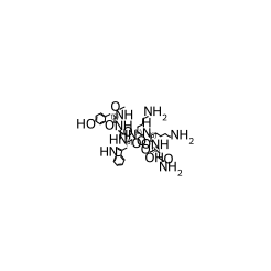 CC(=O)N[C@@H](Cc1ccc(O)cc1)C(=O)NCC(=O)N[C@@H](Cc1c[nH]c2ccccc12)C(=O)N[C@@H](CCCCN)C(=O)N[C@@H](CCCCN)C(=O)N[C@@H](CCC(N)=O)C(=O)O